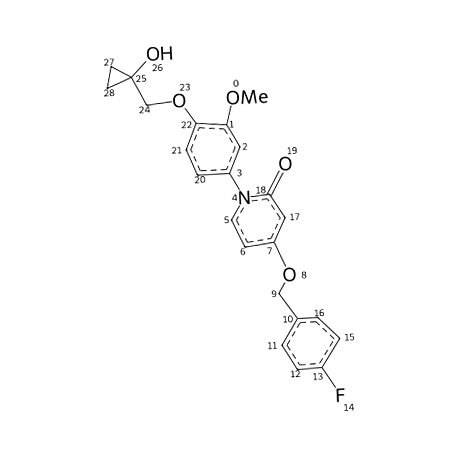 COc1cc(-n2ccc(OCc3ccc(F)cc3)cc2=O)ccc1OCC1(O)CC1